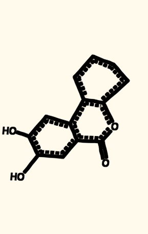 O=c1oc2ccccc2c2cc(O)c(O)cc12